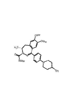 CNC(=O)N1N=C(c2ccc(N3CCC(O)CC3)cc2)c2cc(OC)c(OC)cc2C[C@H]1C